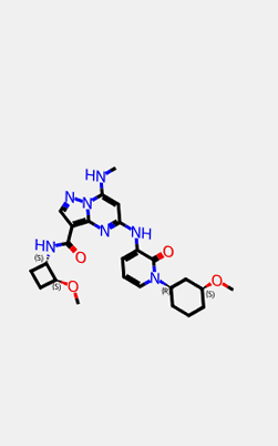 CNc1cc(Nc2cccn([C@@H]3CCC[C@H](OC)C3)c2=O)nc2c(C(=O)N[C@H]3CC[C@@H]3OC)cnn12